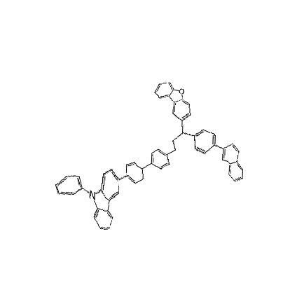 C1=CC(c2ccc(CCC(c3ccc(-c4ccc5ccccc5c4)cc3)c3ccc4oc5ccccc5c4c3)cc2)CC=C1c1ccc2c(c1)c1ccccc1n2-c1ccccc1